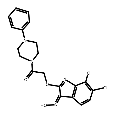 O=C(COC1=Nc2c(ccc(Cl)c2Cl)C1=NO)N1CCN(c2ccccc2)CC1